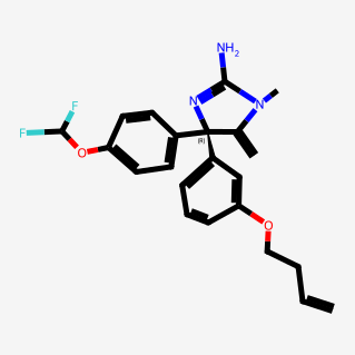 C=CCCOc1cccc([C@@]2(c3ccc(OC(F)F)cc3)N=C(N)N(C)C2=C)c1